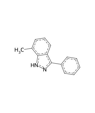 Cc1cccc2c(-c3ccccc3)n[nH]c12